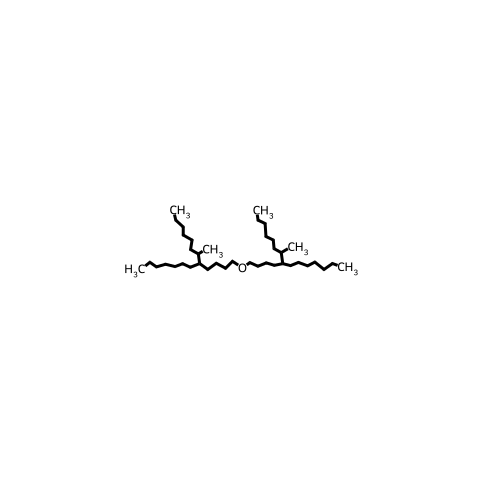 CCCCCCCC(CCCCOCCCCC(CCCCCCC)C(C)CCCCCC)C(C)CCCCCC